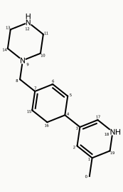 CC1=CC(C2C=CC(CN3CCNCC3)=CC2)=CNC1